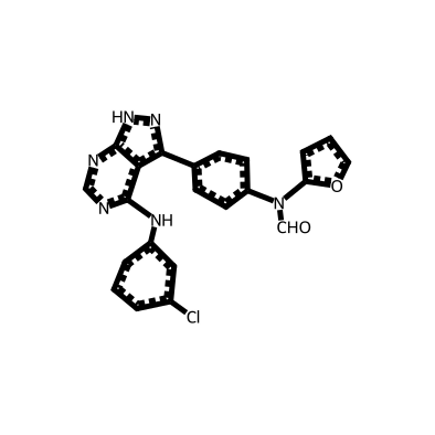 O=CN(c1ccc(-c2n[nH]c3ncnc(Nc4cccc(Cl)c4)c23)cc1)c1ccco1